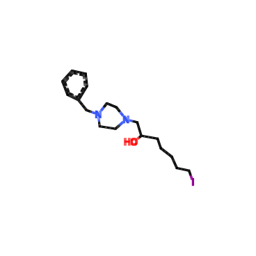 OC(CCCCCI)CN1CCN(Cc2ccccc2)CC1